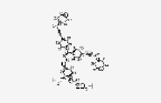 Cc1cc(OCC=C(c2ccc(C#CCN3CCOCC3)cc2)c2ccc(C#CCN3CCOCC3)cc2)ccc1OCC(=O)O